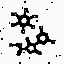 CC(C)NC(=O)N1CC(=O)N(c2cc(Cl)cc(Cl)c2)C1=O.N#Cc1c(Cl)c(Cl)c(Cl)c(C#N)c1Cl